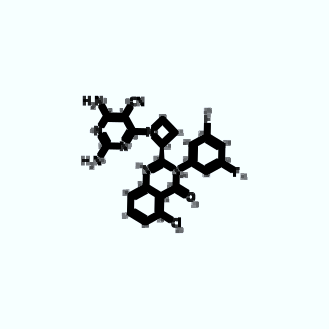 N#Cc1c(N)nc(N)nc1N1CC[C@H]1c1nc2cccc(Cl)c2c(=O)n1-c1cc(F)cc(F)c1